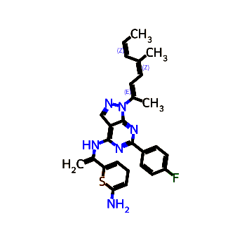 C=C(Nc1nc(-c2ccc(F)cc2)nc2c1cnn2/C(C)=C/C=C(C)\C=C/C)C1=CCC=C(N)S1